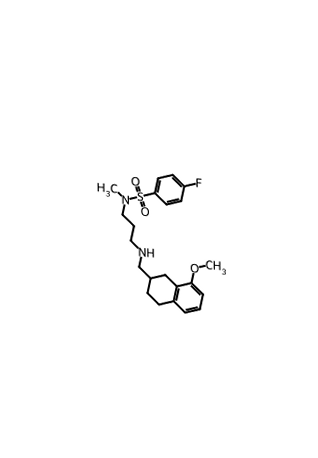 COc1cccc2c1CC(CNCCCN(C)S(=O)(=O)c1ccc(F)cc1)CC2